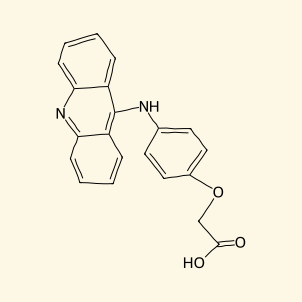 O=C(O)COc1ccc(Nc2c3ccccc3nc3ccccc23)cc1